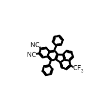 N#Cc1cc2c(-c3ccccc3)c3c(c(-c4ccccc4)c2cc1C#N)-c1ccc(C(F)(F)F)c2cccc-3c12